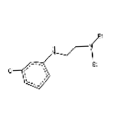 CCN(CC)CCNc1cccc(Cl)c1